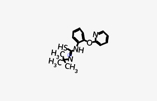 CC(C)(C)/N=C(\S)Nc1ccccc1Oc1ccccn1